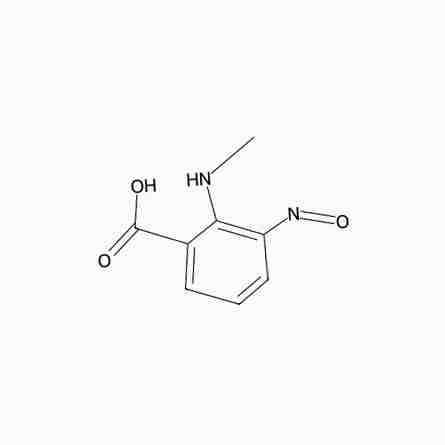 CNc1c(N=O)cccc1C(=O)O